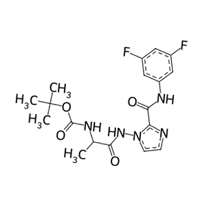 CC(NC(=O)OC(C)(C)C)C(=O)Nn1ccnc1C(=O)Nc1cc(F)cc(F)c1